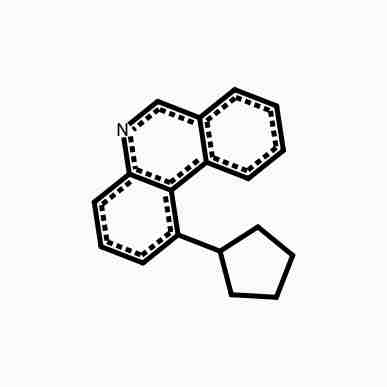 c1ccc2c(c1)cnc1cccc(C3CCCC3)c12